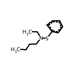 CCCCN(CC)Sc1[c]cccc1